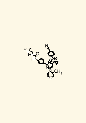 CCNC(=O)Nc1ccc(-c2nc(N3CCOC[C@@H]3C)cc(C3(S(=O)(=O)c4ccc(C#N)cc4)CC3)n2)cc1